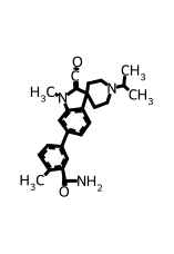 Cc1ccc(-c2ccc3c(c2)N(C)C(=C=O)C32CCN(C(C)C)CC2)cc1C(N)=O